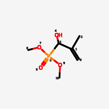 C=C(C)C(O)P(=O)(OC)OC